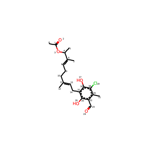 CC(=O)OC(C)/C(C)=C/CC/C(C)=C/Cc1c(O)c(Cl)c(C)c(C=O)c1O